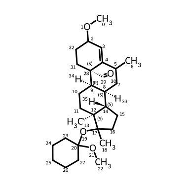 COC1C=C2C(C)C[C@@H]3[C@@H](CC[C@@]4(C)[C@H]3CCC4(C)OC3(OC)CCCCC3)[C@@]2(C=O)CC1